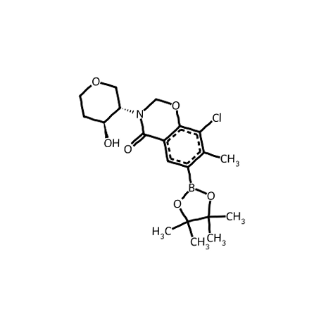 Cc1c(B2OC(C)(C)C(C)(C)O2)cc2c(c1Cl)OCN([C@H]1COCC[C@@H]1O)C2=O